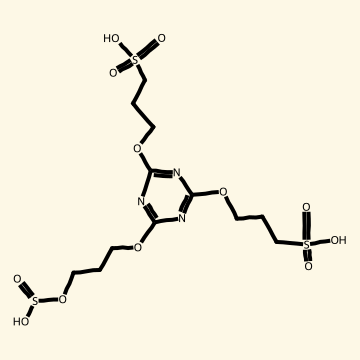 O=S(O)OCCCOc1nc(OCCCS(=O)(=O)O)nc(OCCCS(=O)(=O)O)n1